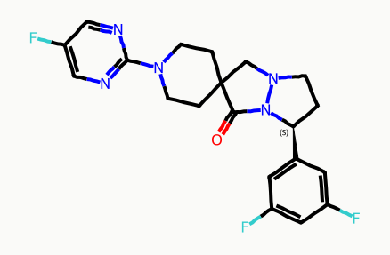 O=C1N2[C@H](c3cc(F)cc(F)c3)CCN2CC12CCN(c1ncc(F)cn1)CC2